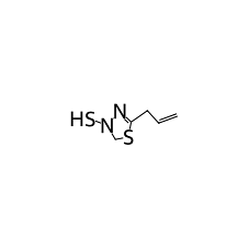 C=CCC1=NN(S)CS1